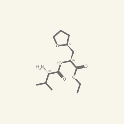 CCOC(=O)[C@H](C[C@@H]1CCCO1)NC(=O)[C@@H](N)C(C)C